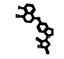 CCN1CCC(Oc2ccc3c(c2)CC[C@H]3C2SC(=O)NC2=O)c2cccc(F)c21